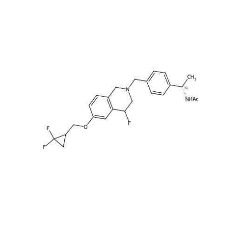 CC(=O)N[C@@H](C)c1ccc(CN2Cc3ccc(OCC4CC4(F)F)cc3C(F)C2)cc1